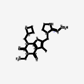 Cc1c(CN2CCN/C2=N\C(=O)O)sc2c1c(=O)n(CC(F)(F)F)c(=O)n2CC1CCO1